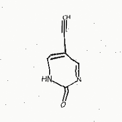 C#Cc1cnc(=O)[nH]c1